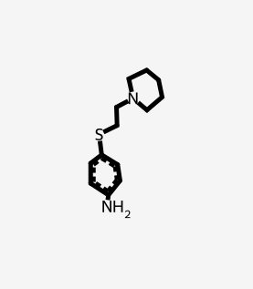 Nc1ccc(SCCN2CCCCC2)cc1